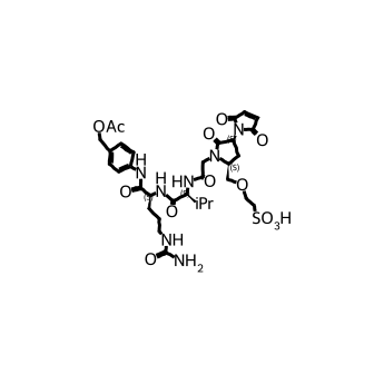 CC(=O)OCc1ccc(NC(=O)[C@H](CCCNC(N)=O)NC(=O)[C@@H](NC(=O)CN2C(=O)[C@@H](N3C(=O)C=CC3=O)C[C@H]2COCCS(=O)(=O)O)C(C)C)cc1